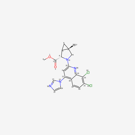 COC(=O)[C@@H]1C2C[C@@H]2CN1c1cc(-n2ccnc2)c2ccc(Cl)c(Cl)c2n1